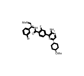 CNC[C@@H](NC(=O)c1ccc(-c2nc([C@H]3CC[C@H](OC)CC3)cnc2N)cc1F)c1cccc(Br)c1